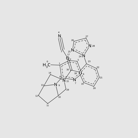 Cc1c(C#N)ccnc1N1C2CCC1CN(C(=O)c1ccccc1-n1nccn1)C2